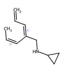 C=C/C=C(\C=C/C)CNC1CC1